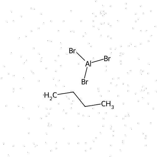 [Br][Al]([Br])[Br].[CH2]CCC